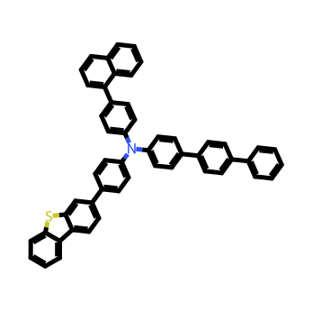 c1ccc(-c2ccc(-c3ccc(N(c4ccc(-c5ccc6c(c5)sc5ccccc56)cc4)c4ccc(-c5cccc6ccccc56)cc4)cc3)cc2)cc1